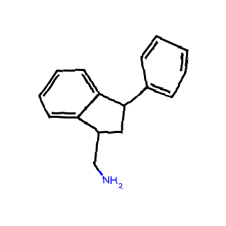 NCC1CC(c2ccccc2)c2ccccc21